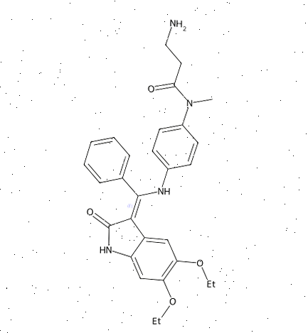 CCOc1cc2c(cc1OCC)/C(=C(\Nc1ccc(N(C)C(=O)CCN)cc1)c1ccccc1)C(=O)N2